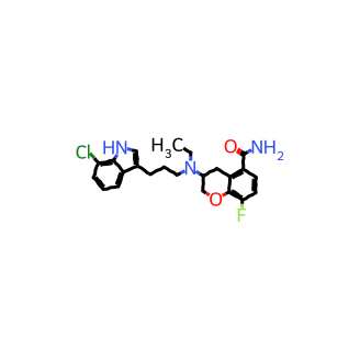 CCN(CCCc1c[nH]c2c(Cl)cccc12)C1COc2c(F)ccc(C(N)=O)c2C1